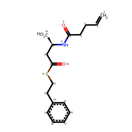 C=CCCC(=O)N[C@@H](CC(=O)SCCc1ccccc1)C(=O)O